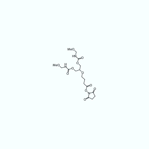 COCNC(=O)OCC(COC(=O)NCOC)OCCCC(=O)ON1C(=O)CCC1=O